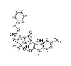 COc1ccc(N(C)C(=O)[C@@H](O)[C@@H]2C(=O)N3[C@@H](C(=O)OCc4ccccc4)C(C)(C)S(=O)(=O)[C@H]23)cc1